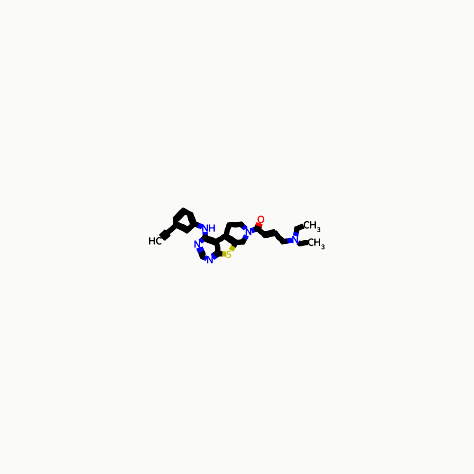 C#Cc1cccc(Nc2ncnc3sc4c(c23)CCN(C(=O)/C=C/CN(CC)CC)C4)c1